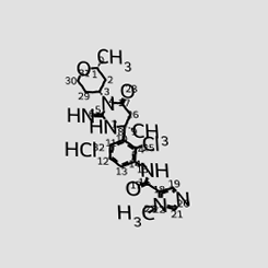 C[C@@H]1C[C@H](N2C(=N)N[C@](C)(c3cccc(NC(=O)c4cncn4C)c3Cl)CC2=O)CCO1.Cl